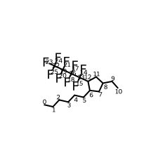 CCCCCCC1CC(CC)CC1C(F)(F)C(F)(F)C(F)(F)C(F)(F)F